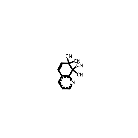 N#CC1(C#N)C=Cc2cccnc2C1(C#N)C#N